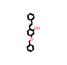 Oc1cc(OCc2ccccc2)ccc1/C=C/c1ccccc1